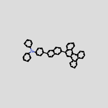 c1ccc(N(c2ccccc2)c2ccc(-c3ccc4cc(-c5cc6c7ccccc7c7ccccc7c6c6ccccc56)ccc4c3)cc2)cc1